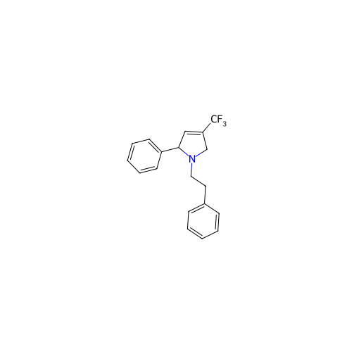 FC(F)(F)C1=CC(c2ccccc2)N(CCc2ccccc2)C1